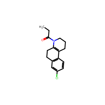 CCC(=O)N1CCCC2=C1CCc1cc(Cl)ccc12